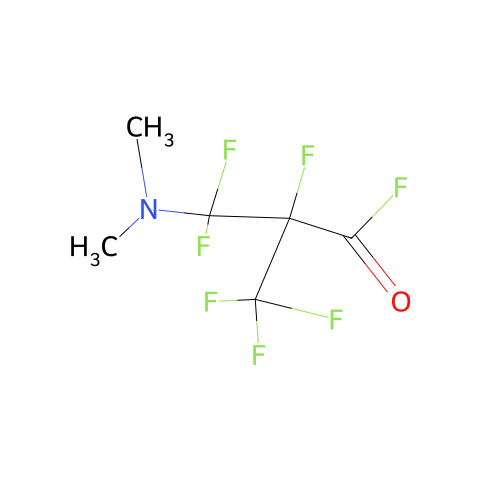 CN(C)C(F)(F)C(F)(C(=O)F)C(F)(F)F